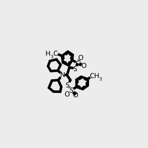 Cc1ccc(S(=O)(=O)SCC(CSS(=O)(=O)c2ccc(C)cc2)N(C2CCCCC2)C2CCCCC2)cc1